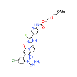 COCCOCCOC(=O)Nc1ccc(-c2[nH]c([C@@H]3CCc4cc(-c5cc(Cl)ccc5N(N)/C=N\N)cc(=O)n43)nc2F)cn1